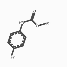 CC(C)OC(=O)Nc1ccc(C(C)C)cc1